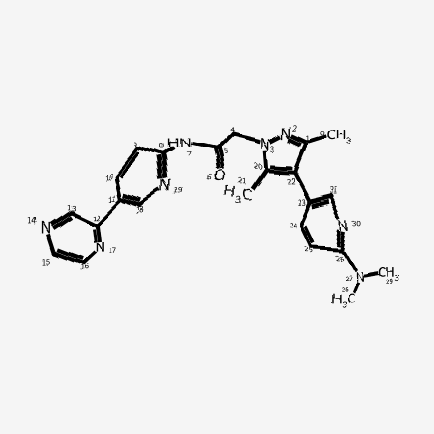 Cc1nn(CC(=O)Nc2ccc(-c3cnccn3)cn2)c(C)c1-c1ccc(N(C)C)nc1